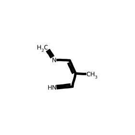 C=N/C=C(/C)C=N